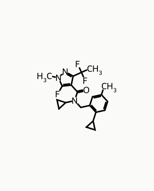 Cc1ccc(C2CC2)c(CN(C(=O)c2c(C(C)(F)F)nn(C)c2F)C2CC2)c1